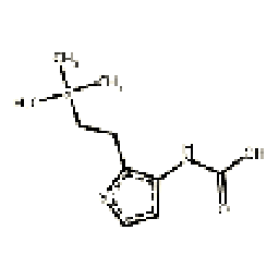 C[Si](C)(C)CCc1sccc1NC(=O)O